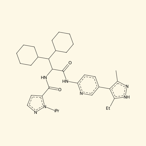 CCc1[nH]nc(C)c1-c1ccc(NC(=O)C(NC(=O)c2ccnn2C(C)C)C(C2CCCCC2)C2CCCCC2)nc1